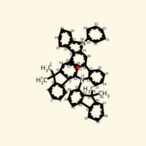 CC1(C)c2ccccc2-c2c(N(c3ccccc3-c3ccc4c5ccccc5n(-c5ccccc5)c4c3)c3cccc4c3C(C)(C)c3ccccc3-4)cccc21